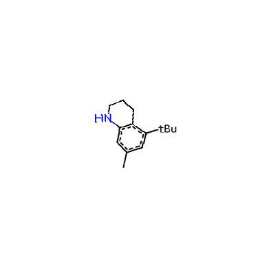 Cc1cc2c(c(C(C)(C)C)c1)CCCN2